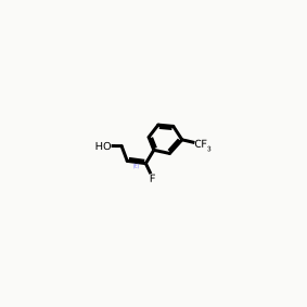 OC/C=C(/F)c1cccc(C(F)(F)F)c1